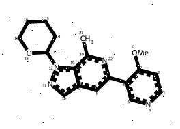 COc1ccncc1-c1cc2cnn(C3CCCCO3)c2c(C)n1